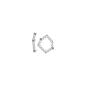 [N-]=[N+]=[N-].c1cnccn1